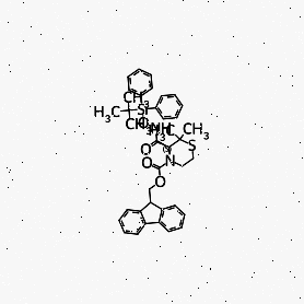 CC1(C)SCCN(C(=O)OCC2c3ccccc3-c3ccccc32)[C@H]1C(=O)NO[Si](c1ccccc1)(c1ccccc1)C(C)(C)C